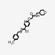 CC/C(=N\OCc1ccc(C)cc1)c1ccc(OCC(=O)NCC2CCOCC2)nc1